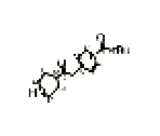 CC(C)(C)C(=O)N1C=CC(CC(=O)C2CCNCC2)=NC1